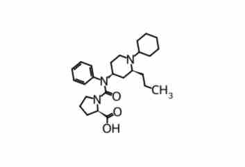 CCC[C@H]1C[C@@H](N(C(=O)N2CCC[C@@H]2C(=O)O)c2ccccc2)CCN1C1CCCCC1